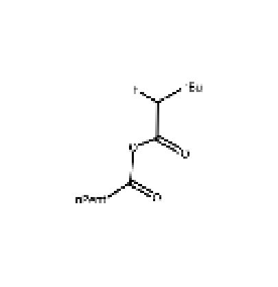 CCCCCC(=O)OC(=O)C(F)CCCC